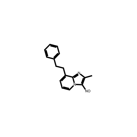 Cc1nc2c(CCc3ccccc3)cccn2c1N=O